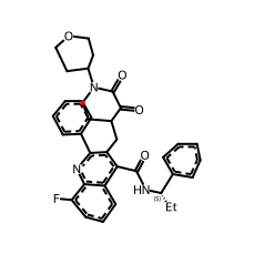 CC[C@H](NC(=O)c1c(CC2CCN(C3CCOCC3)C(=O)C2=O)c(-c2ccccc2)nc2c(F)cccc12)c1ccccc1